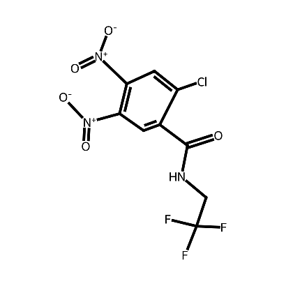 O=C(NCC(F)(F)F)c1cc([N+](=O)[O-])c([N+](=O)[O-])cc1Cl